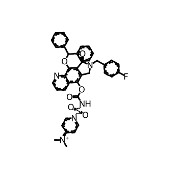 C[N+](C)=c1ccn(S(=O)(=O)NC(=O)Oc2c3c(c(OC(c4ccccc4)c4ccccc4)c4ncccc24)C(=O)N(Cc2ccc(F)cc2)C3)cc1